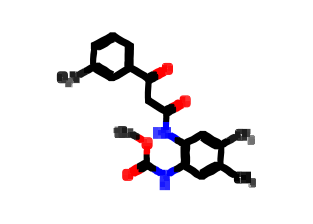 Cc1cc(NC(=O)OC(C)(C)C)c(NC(=O)CC(=O)c2cccc([N+](=O)[O-])c2)cc1C(F)(F)F